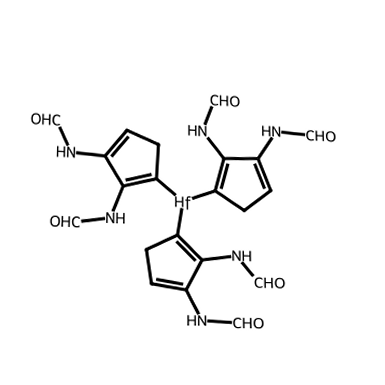 O=CNC1=CC[C]([Hf]([C]2=C(NC=O)C(NC=O)=CC2)[C]2=C(NC=O)C(NC=O)=CC2)=C1NC=O